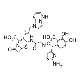 Nc1nc(C(ON=CC(=O)NC2SC3CC(=O)N3C(C(=O)O)=C2/C=C/CN2C=CN3NC=CC=C23)c2ccc(O)c(O)c2C(=O)O)cs1